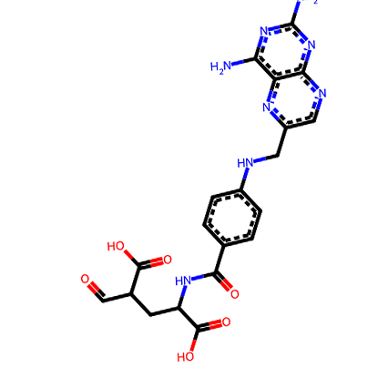 Nc1nc(N)c2nc(CNc3ccc(C(=O)NC(CC(C=O)C(=O)O)C(=O)O)cc3)cnc2n1